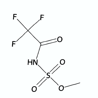 COS(=O)(=O)NC(=O)C(F)(F)F